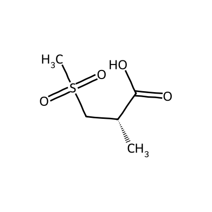 C[C@H](CS(C)(=O)=O)C(=O)O